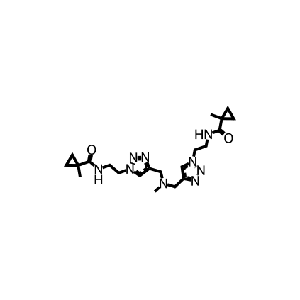 CN(Cc1cn(CCNC(=O)C2(C)CC2)nn1)Cc1cn(CCNC(=O)C2(C)CC2)nn1